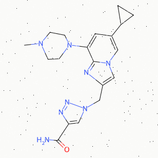 CN1CCN(c2cc(C3CC3)cn3cc(Cn4cc(C(N)=O)nn4)nc23)CC1